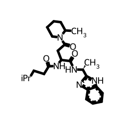 CC(C)CCC(=O)NC(CC(=O)N1CCCCC1C)C(=O)N[C@H](C)c1nc2ccccc2[nH]1